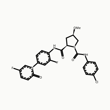 CO[C@@H]1C[C@H](C(=O)Nc2ccc(-n3cc(F)ccc3=O)cc2F)N(C(=O)Nc2ccc(Cl)cc2)C1